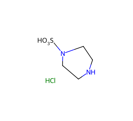 Cl.O=S(=O)(O)N1CCNCC1